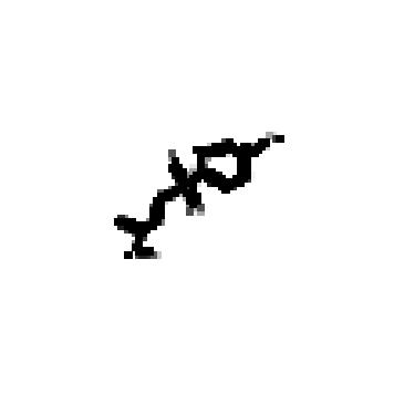 COC(=O)/C=C/S(=O)(=O)c1ccc(F)cc1